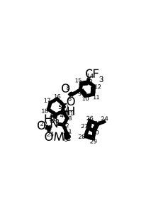 C#CC1C[C@H]2[C@@H](OC(=O)c3cccc(C(F)(F)F)c3)CCC[C@H]2N1C(=O)OC.Cc1cc2ccc1-2